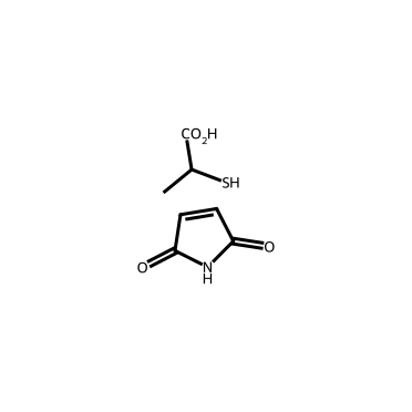 CC(S)C(=O)O.O=C1C=CC(=O)N1